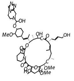 CO[C@H]1C[C@@H](C)C/C(C)=C/[C@@H](C/C=C/CO)C(=O)C[C@H](O)[C@@H](C)[C@@H](/C(C)=C/[C@@H]2CC[C@@H](OC(O)N3CCn4cnnc4C3)[C@H](OC)C2)OC(=O)[C@@H]2CCCCN2C(=O)C(=O)[C@]2(O)O[C@H]1[C@@H](OC)C[C@H]2C